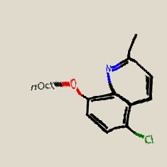 CCCCCCCCOc1ccc(Cl)c2ccc(C)nc12